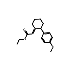 CCOC(=O)C=C1CCCCC1c1ccc(OC)cc1